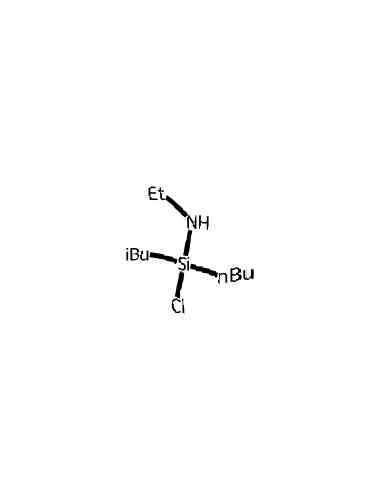 CCCC[Si](Cl)(NCC)C(C)CC